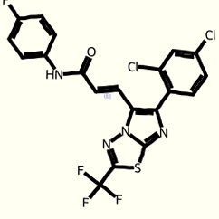 O=C(/C=C/c1c(-c2ccc(Cl)cc2Cl)nc2sc(C(F)(F)F)nn12)Nc1ccc(F)cc1